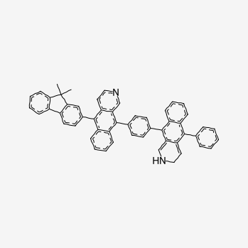 CC1(C)c2ccccc2-c2ccc(-c3c4ccccc4c(-c4ccc(-c5c6c(c(-c7ccccc7)c7ccccc57)=CCNC=6)cc4)c4cnccc34)cc21